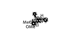 COc1cc(OC)c(Cl)c(-c2cc3cnc(N[C@H]4CCCOC4)cc3c(NCC3CCCC3)n2)c1Cl